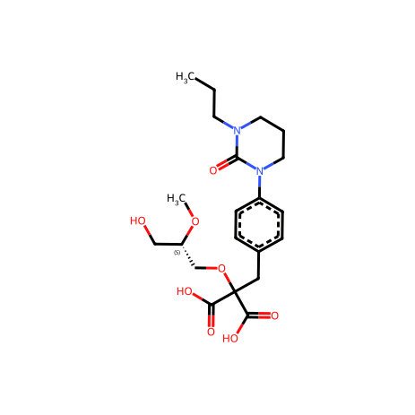 CCCN1CCCN(c2ccc(CC(OC[C@H](CO)OC)(C(=O)O)C(=O)O)cc2)C1=O